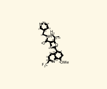 COc1ccc(-c2nc(C(=O)NCc3ccnnc3)c([C@H](C)N)o2)c2ccc(C(F)(F)F)nc12